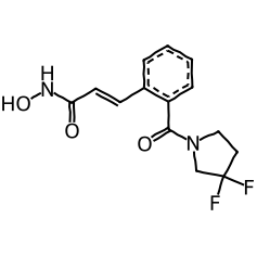 O=C(C=Cc1ccccc1C(=O)N1CCC(F)(F)C1)NO